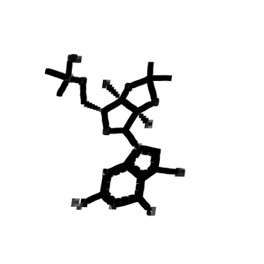 CCc1cn(C2O[C@H](CO[Si](C)(C)C(C)(C)C)[C@H]3OC(C)(C)O[C@@H]23)c2nc(N)nc(Cl)c12